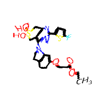 CCOC(=O)COc1ccc2c(c1)N(c1nc(-c3ccc(F)s3)nc3c1CS(O)(O)C3)CC2